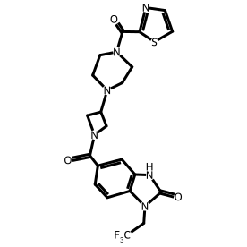 O=C(c1ccc2c(c1)[nH]c(=O)n2CC(F)(F)F)N1CC(N2CCN(C(=O)c3nccs3)CC2)C1